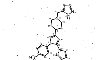 Cc1ccc(-n2nc(C3CCN(Cc4ccn[nH]4)CC3)cc2-n2cccn2)cc1